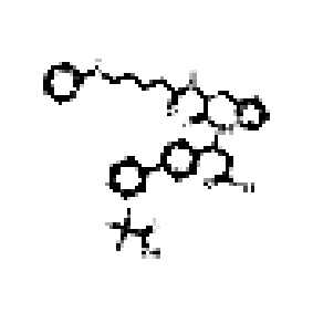 O=C(O)C(F)(F)F.O=C(O)CC(NC(=O)[C@H](Cc1cccs1)NC(=O)CCCCNc1ccccn1)c1ccc(-c2ccccc2)cc1